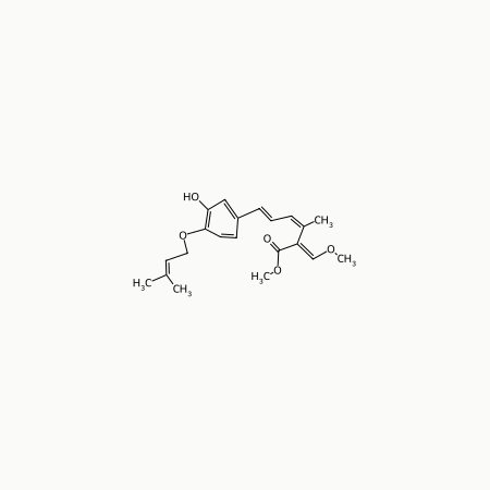 CO\C=C(C(=O)OC)/C(C)=C\C=C\c1ccc(OCC=C(C)C)c(O)c1